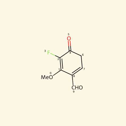 COC1=C(F)C(=O)CC=C1C=O